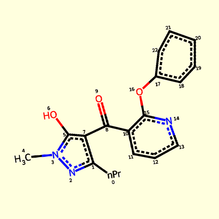 CCCc1nn(C)c(O)c1C(=O)c1cccnc1Oc1ccccc1